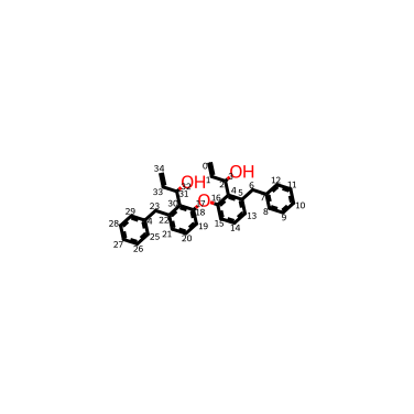 C=CC(O)c1c(Cc2ccccc2)cccc1Oc1cccc(Cc2ccccc2)c1C(O)C=C